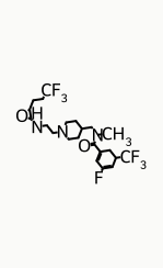 CN(CC1CCN(CCNC2OC2CCC(F)(F)F)CC1)C(=O)C1=CC(F)=CC(C(F)(F)F)C1